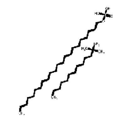 CCCCCCCCCCCC(C)(C)N.CCCCCCCCCCCCCCCCCCCCCCOP(=O)(O)O